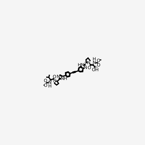 COC(=O)N[C@H](C(=O)N1CCCC1c1ncc(-c2ccc(C#Cc3ccc4nc([C@@H]5CCCN5C(=O)[C@@H](NC(=O)OC)[C@H](C)O)[nH]c4c3)cc2)[nH]1)C(C)C